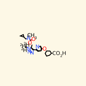 [2H]C([2H])([2H])n1nnc(-c2ccc(O[C@H]3CCC[C@H](C(=O)O)C3)cn2)c1COC(=O)N(C)CC1CC1